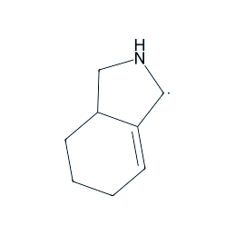 [CH]1NCC2CCCC=C12